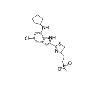 CS(=O)(=O)CCC1CSC(c2cc3cc(Cl)cc(NC4CCCC4)c3[nH]2)=N1